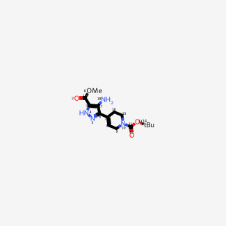 COC(=O)c1[nH]nc(C2=CCN(C(=O)OC(C)(C)C)CC2)c1N